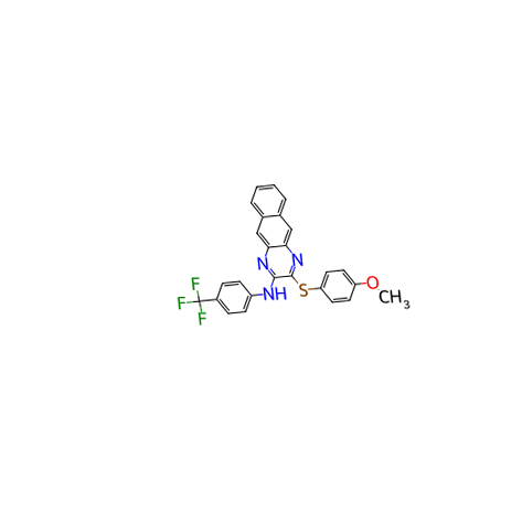 COc1ccc(Sc2nc3cc4ccccc4cc3nc2Nc2ccc(C(F)(F)F)cc2)cc1